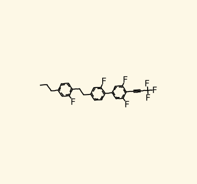 CCCc1ccc(CCc2ccc(-c3cc(F)c(C#CC(F)(F)F)c(F)c3)c(F)c2)c(F)c1